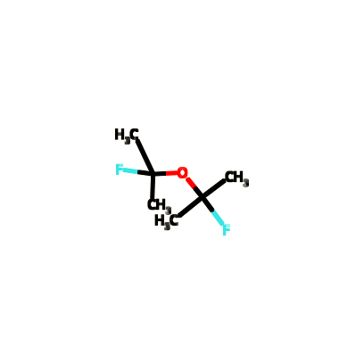 CC(C)(F)OC(C)(C)F